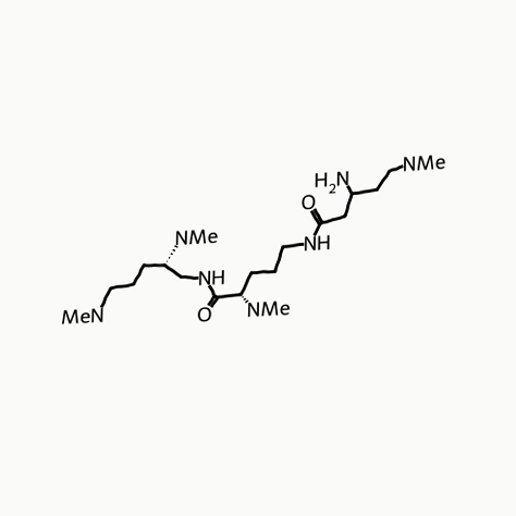 CNCCC[C@@H](CNC(=O)[C@H](CCCNC(=O)CC(N)CCNC)NC)NC